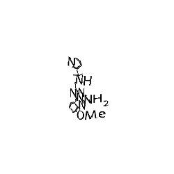 COc1cccc2c1nc(N)n1nc(CNC(C)(C)c3cccnc3)nc21